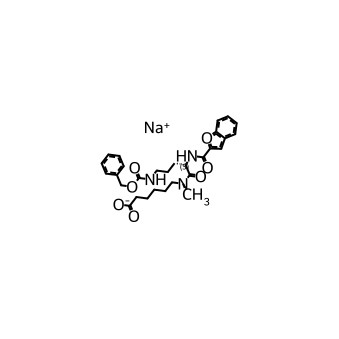 CN(CCCCCC(=O)[O-])C(=O)[C@H](CCCNC(=O)OCc1ccccc1)NC(=O)c1cc2ccccc2o1.[Na+]